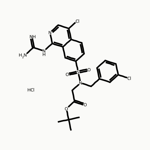 CC(C)(C)OC(=O)CN(Cc1cccc(Cl)c1)S(=O)(=O)c1ccc2c(Cl)cnc(NC(=N)N)c2c1.Cl